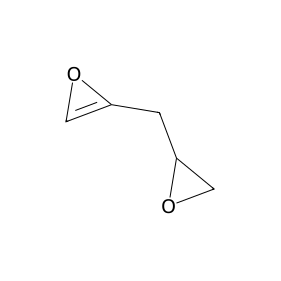 C1=C(CC2CO2)O1